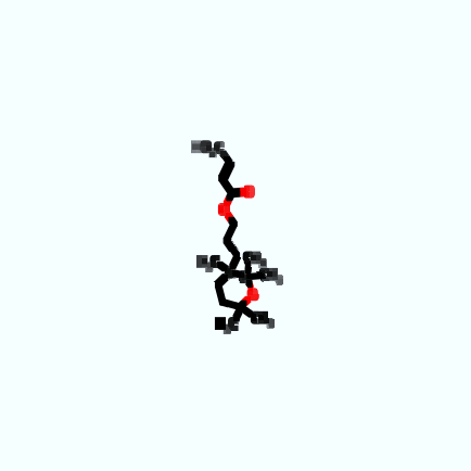 CC1(C)CC[Si](C)(CCCOC(=O)C=CC(=O)O)[Si](C)(C)O1